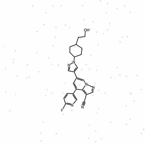 N#Cc1cnn2cc(-c3cnn(C4CCC(CCO)CC4)c3)cc(-c3ccc(F)nc3)c12